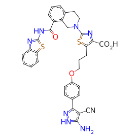 N#Cc1c(-c2ccc(OCCCc3sc(N4CCc5cccc(C(=O)Nc6nc7ccccc7s6)c5C4)nc3C(=O)O)cc2)n[nH]c1N